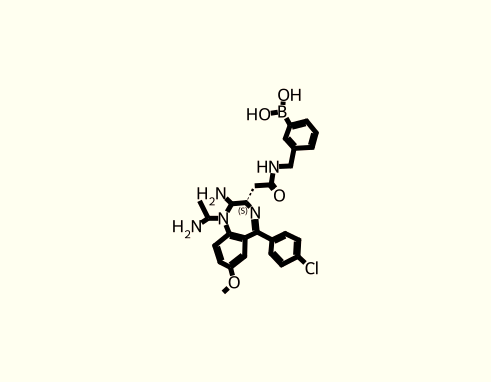 COc1ccc2c(c1)C(c1ccc(Cl)cc1)=N[C@@H](CC(=O)NCc1cccc(B(O)O)c1)C(N)N2C(C)N